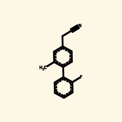 Cc1cc(CC#N)ccc1-c1ccccc1F